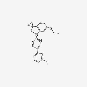 CCSc1ccc2c(c1)N(c1ncc(-c3cccc(CC)n3)cn1)CC21CC1